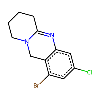 Clc1cc(Br)c2c(c1)N=C1CCCCN1C2